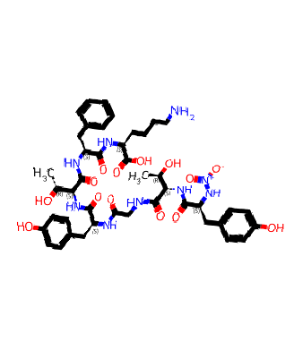 C[C@@H](O)[C@H](NC(=O)[C@H](Cc1ccc(O)cc1)N[N+](=O)[O-])C(=O)NCC(=O)N[C@@H](Cc1ccc(O)cc1)C(=O)N[C@H](C(=O)N[C@@H](Cc1ccccc1)C(=O)N[C@@H](CCCCN)C(=O)O)[C@@H](C)O